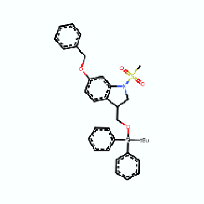 CC(C)(C)[Si](OCC1CN(S(C)(=O)=O)c2cc(OCc3ccccc3)ccc21)(c1ccccc1)c1ccccc1